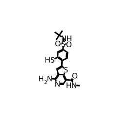 CNC(=O)c1cnc(N)c2cc(-c3ccc(S(=O)(=O)NC(C)(C)C)cc3S)sc12